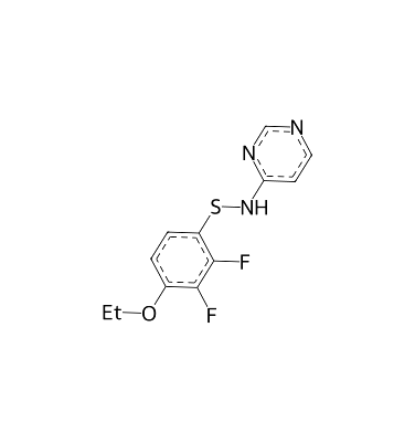 CCOc1ccc(SNc2ccncn2)c(F)c1F